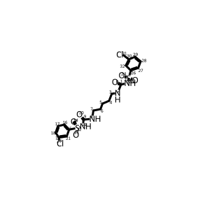 O=C(NCCCCCNC(=O)NS(=O)(=O)c1cccc(Cl)c1)NS(=O)(=O)c1cccc(Cl)c1